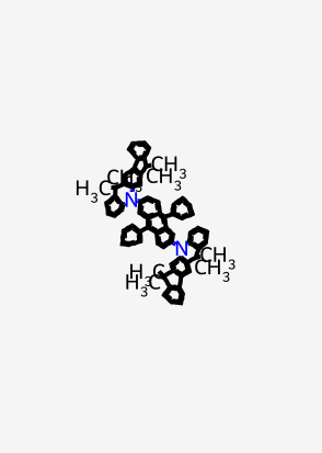 CC1(C)c2ccccc2-c2cc3c(cc21)N(c1ccc2c(-c4ccccc4)c4cc(N5c6ccccc6C(C)(C)c6cc7c(cc65)C(C)(C)c5ccccc5-7)ccc4c(-c4ccccc4)c2c1)c1ccccc1C3(C)C